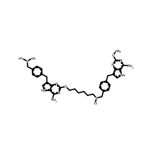 CCCCOc1nc(N)c2[nH]cc(Cc3ccc(CN(CC)CCCCCCOc4nc(N)c5[nH]cc(Cc6ccc(CN(CCC)CCC)cc6)c5n4)cc3)c2n1